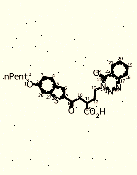 CCCCCOc1ccc2cc(C(=O)CC(CCn3nnc4ccccc4c3=O)C(=O)O)sc2c1